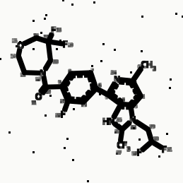 Cc1cc2c(c(-c3ccc(C(=O)N4CCOCC(F)(F)C4)c(F)c3)n1)NC(C(F)(F)F)N2CC(F)F